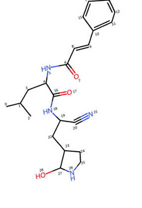 CC(C)CC(NC(=O)/C=C/c1ccccc1)C(=O)NC(C#N)CC1CCNC1O